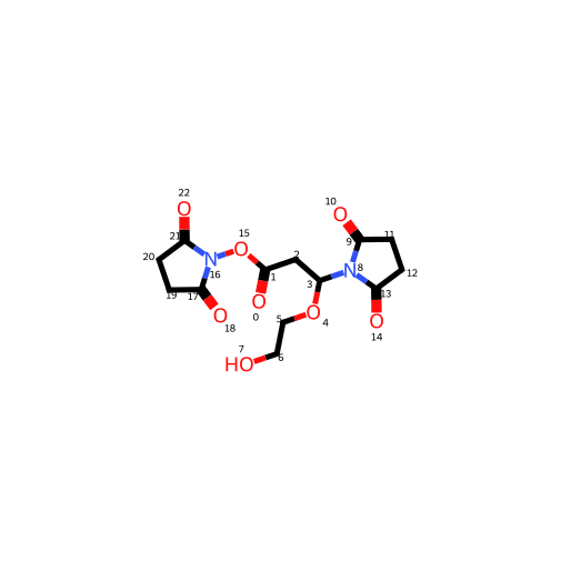 O=C(CC(OCCO)N1C(=O)CCC1=O)ON1C(=O)CCC1=O